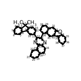 CC1(C)c2ccccc2-c2cc(-c3nc4c(ccc5ccccc54)nc3-c3cccc4cc5oc6ccccc6c5cc34)ccc21